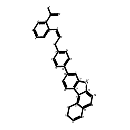 C=C(C)c1ccccc1/C=C\Cc1ccc(-c2ccc3c(c2)oc2ccc4c(c23)CCC=C4)cc1